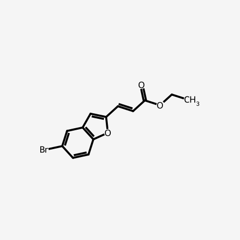 CCOC(=O)C=Cc1cc2cc(Br)ccc2o1